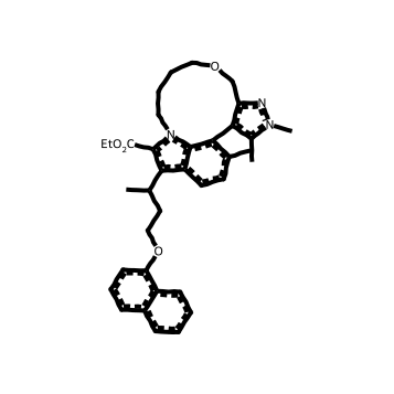 CCOC(=O)c1c(C(C)CCOc2cccc3ccccc23)c2ccc(C)c3c2n1CCCCOCc1nn(C)c(C)c1-3